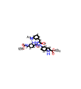 CC(=O)N(C)c1cccc(CC(NC(=O)C2CCC(CNC(=O)OC(C)(C)C)CC2)C(=O)Nc2ccc3[nH]c(C(=O)OC(C)(C)C)cc3c2)c1